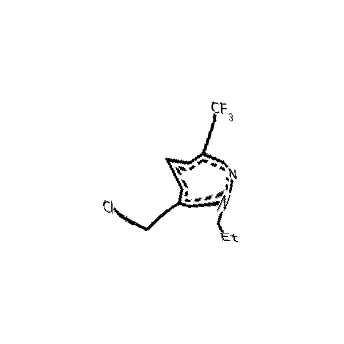 CCn1nc(C(F)(F)F)cc1CCl